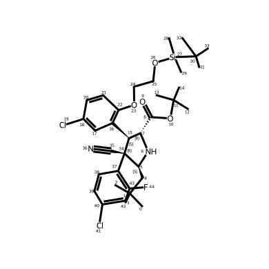 CC(C)(C)C[C@@H]1N[C@@H](C(=O)OC(C)(C)C)[C@H](c2cc(Cl)ccc2OCCO[Si](C)(C)C(C)(C)C)[C@@]1(C#N)c1ccc(Cl)cc1F